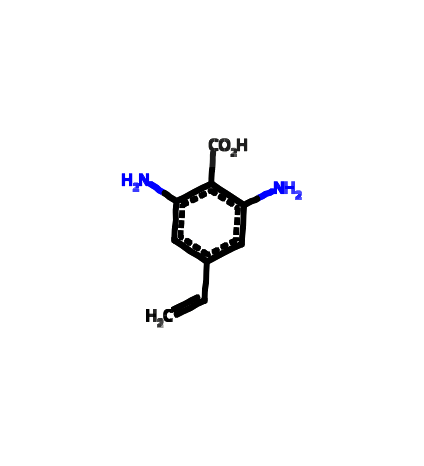 C=Cc1cc(N)c(C(=O)O)c(N)c1